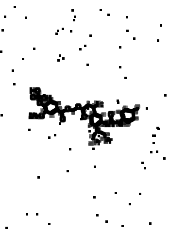 CCC(CC(=O)OCOC(=O)c1ccc(OP(=O)(O)O)c(OC)c1)c1ccc(N(CC(C)C)CC(C)C)c(NC(=O)Nc2ccc(C)cc2)c1